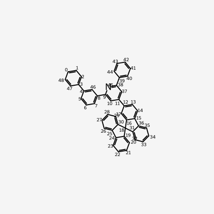 c1ccc(-c2cccc(-c3cc(-c4ccc5c(c4)C4(c6ccccc6-c6ccccc64)c4ccccc4-5)cc(-c4ccccc4)n3)c2)cc1